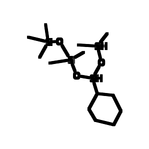 C[SiH](C)O[SiH](O[Si](C)(C)O[Si](C)(C)C)C1CCCCC1